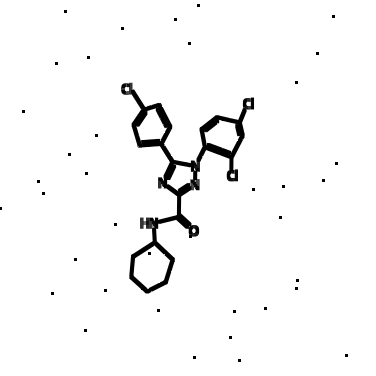 O=C(NC1CCCCC1)c1nc(-c2ccc(Cl)cc2)n(-c2ccc(Cl)cc2Cl)n1